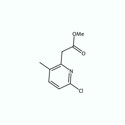 COC(=O)Cc1nc(Cl)ccc1C